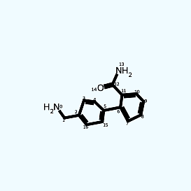 NCc1ccc(-c2ccccc2C(N)=O)cc1